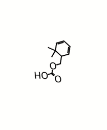 CC1(C)C=CC=CC1COC(=O)O